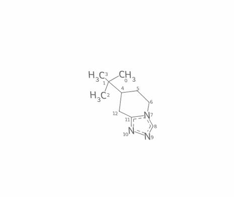 CC(C)(C)C1CCn2cnnc2C1